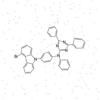 Brc1cccc2c1c1ccccc1n2-c1ccc(N(c2ccccc2)c2nc(-c3ccccc3)nc(-c3ccccc3)n2)cc1